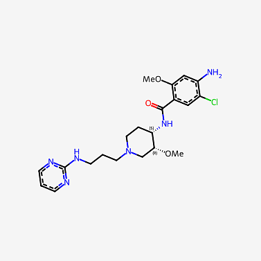 COc1cc(N)c(Cl)cc1C(=O)N[C@H]1CCN(CCCNc2ncccn2)C[C@H]1OC